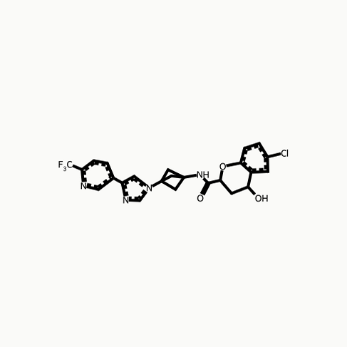 O=C(NC12CC(n3cnc(-c4ccc(C(F)(F)F)nc4)c3)(C1)C2)C1CC(O)c2cc(Cl)ccc2O1